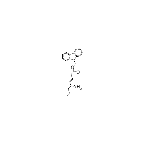 CCCC(N)C=CCC(=O)OCC1c2ccccc2-c2ccccc21